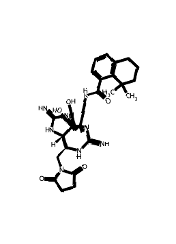 CC1(C)CCCc2cccc(C(=O)NC3CN4C(=N)N[C@@H](CN5C(=O)CCC5=O)[C@@H]5NC(=N)NC54C3(O)O)c21